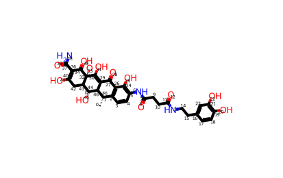 C[C@H]1c2ccc(NC(=O)CCC(=O)NCCc3ccc(O)c(O)c3)c(O)c2C(=O)C2=C(O)[C@]3(O)C(=O)C(C(N)=O)=C(O)CC3[C@@H](O)C21